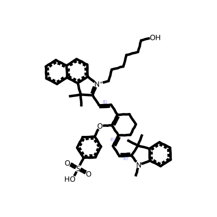 CN1/C(=C/C=C2\CCCC(/C=C/C3=[N+](CCCCCCO)c4ccc5ccccc5c4C3(C)C)=C2Oc2ccc(S(=O)(=O)O)cc2)C(C)(C)c2ccccc21